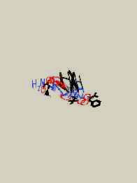 CC(C)[C@H](OC(=O)N[C@H](C(=O)N1C[C@H]2[C@@H]([C@H]1C(=O)NC(C(=O)C(N)=O)C1CC1)C2(C)C)C(C)(C)C)C(=O)c1ccccc1